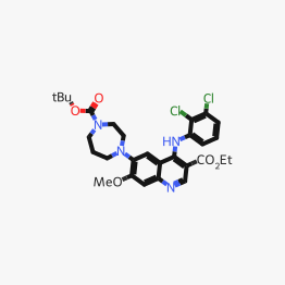 CCOC(=O)c1cnc2cc(OC)c(N3CCCN(C(=O)OC(C)(C)C)CC3)cc2c1Nc1cccc(Cl)c1Cl